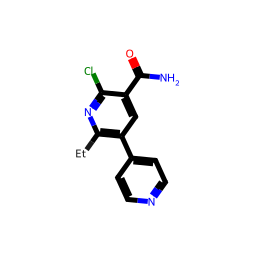 CCc1nc(Cl)c(C(N)=O)cc1-c1ccncc1